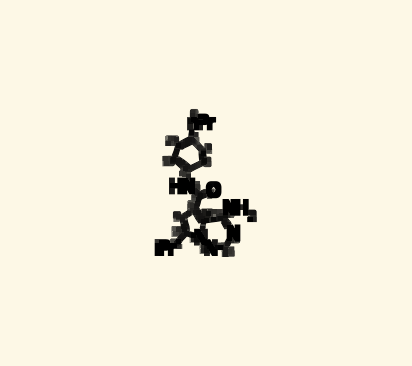 CCCc1ccc(NC(=O)c2cc(C(C)C)n3ncnc(N)c23)cc1